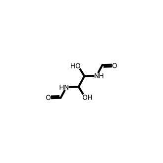 O=CNC(O)C(O)NC=O